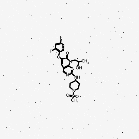 CC(O)Cn1c(=O)c(Oc2ccc(F)cc2F)cc2cnc(NC3CCN(S(C)(=O)=O)CC3)nc21